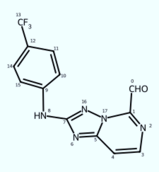 O=Cc1nccc2nc(Nc3ccc(C(F)(F)F)cc3)nn12